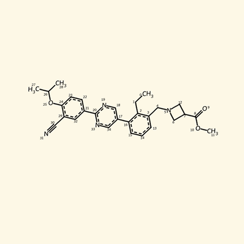 CCc1c(CN2CC(C(=O)OC)C2)cccc1-c1cnc(-c2ccc(OC(C)C)c(C#N)c2)nc1